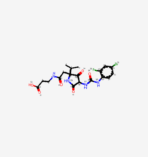 CC(C)C1(CC(=O)NCCC(=O)O)NC(=O)C(NC(=O)Nc2ccc(Br)cc2F)C1=O